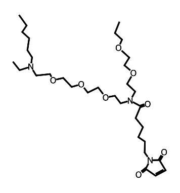 CCCCCCN(CC)CCOCCOCCOCCN(CCOCCOCCC)C(=O)CCCCCN1C(=O)C=CC1=O